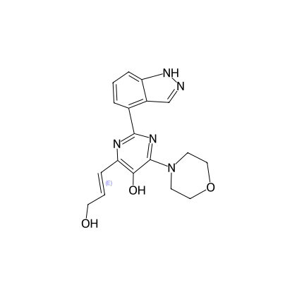 OC/C=C/c1nc(-c2cccc3[nH]ncc23)nc(N2CCOCC2)c1O